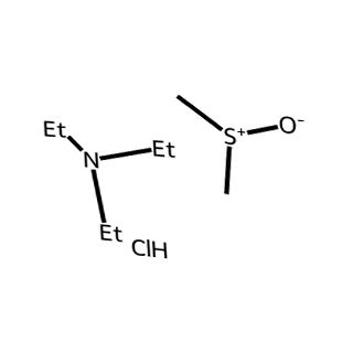 CCN(CC)CC.C[S+](C)[O-].Cl